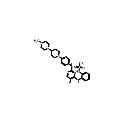 CN1CCN(C2CCN(c3ccc(Nc4ncc(Cl)c(Nc5ccccc5NS(C)(=O)=O)n4)cn3)CC2)CC1